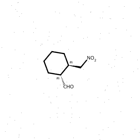 O=C[C@@H]1CCCC[C@H]1C[N+](=O)[O-]